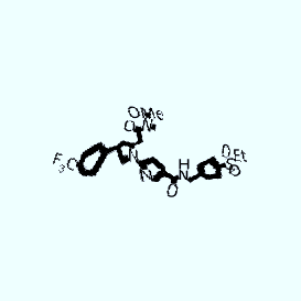 CCS(=O)(=O)c1ccc(CNC(=O)c2ccc(N3CC(c4ccc(C(F)(F)F)cc4)C[C@H]3CC(=O)N(C)OC)nc2)cc1